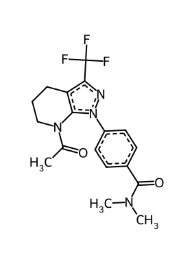 CC(=O)N1CCCc2c(C(F)(F)F)nn(-c3ccc(C(=O)N(C)C)cc3)c21